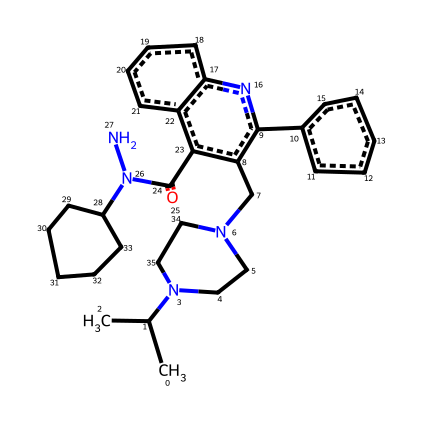 CC(C)N1CCN(Cc2c(-c3ccccc3)nc3ccccc3c2C(=O)N(N)C2CCCCC2)CC1